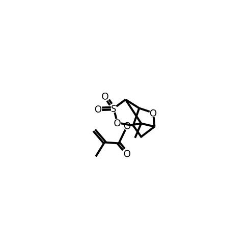 C=C(C)C(=O)OC1(C)C2CC3OS(=O)(=O)C1C3O2